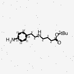 CC(C)(C)OC(=O)CCCNCCc1ccc(N)cc1